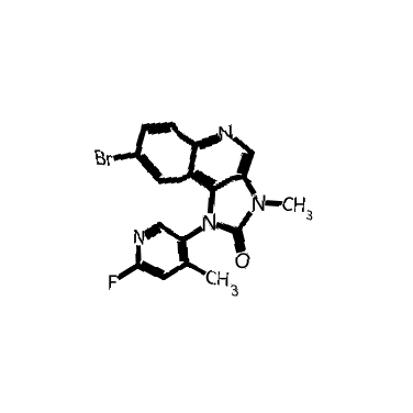 Cc1cc(F)ncc1-n1c(=O)n(C)c2cnc3ccc(Br)cc3c21